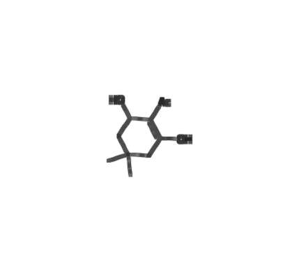 CC(=O)C1=C(O)CC(C)(C)CC1O